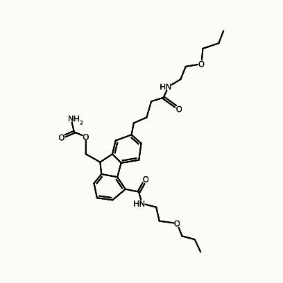 CCCOCCNC(=O)CCCc1ccc2c(c1)C(COC(N)=O)c1cccc(C(=O)NCCOCCC)c1-2